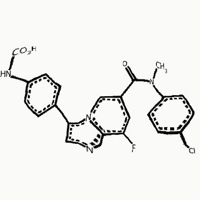 CN(C(=O)c1cc(F)c2ncc(-c3ccc(NC(=O)O)cc3)n2c1)c1ccc(Cl)cc1